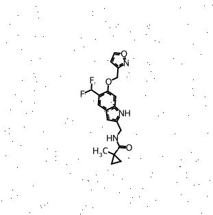 CC1(C(=O)NCc2cc3cc(C(F)F)c(OCc4ccon4)cc3[nH]2)CC1